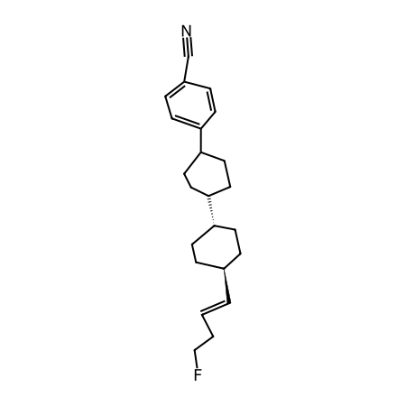 N#Cc1ccc(C2CCC([C@H]3CC[C@H](/C=C/CCF)CC3)CC2)cc1